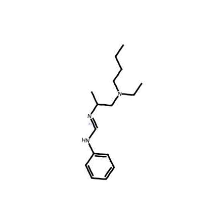 CCCCN(CC)CC(C)/N=C/Nc1ccccc1